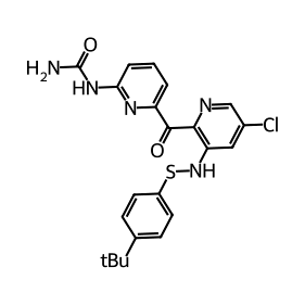 CC(C)(C)c1ccc(SNc2cc(Cl)cnc2C(=O)c2cccc(NC(N)=O)n2)cc1